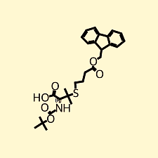 CC(C)(C)OC(=O)N[C@H](C(=O)O)C(C)(C)SCCCC(=O)OCC1c2ccccc2-c2ccccc21